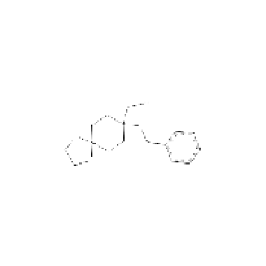 O=NCC1(SCc2ccccc2)CCC2(CC1)OCCO2